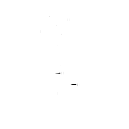 CC(C)(C)NC(=O)C[C@@]12CCC[C@H]1[C@@H]1CCC3CCCC[C@]3(C)[C@H]1CC2